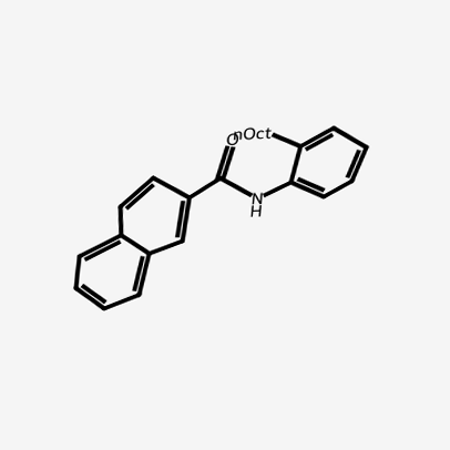 CCCCCCCCc1ccccc1NC(=O)c1ccc2ccccc2c1